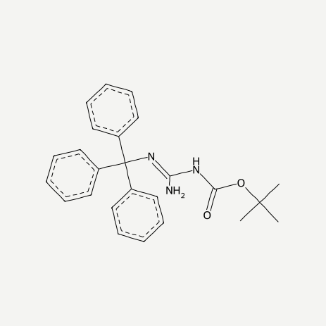 CC(C)(C)OC(=O)NC(N)=NC(c1ccccc1)(c1ccccc1)c1ccccc1